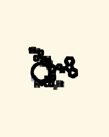 CCOC(=O)[C@@]12C[C@H]1/C=C\CCCCN(NC(=O)OC(C)(C)C)C(=O)[C@@H]1C[C@H](ON=C3c4ccccc4-c4ccccc43)C[C@H]1C(=O)N2